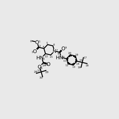 COC(=O)C1CCN(C(=O)Nc2ccc(C(C)(C)C)cc2)CC1NC(=O)OC(C)(C)C